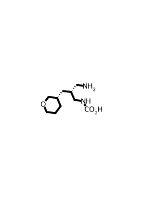 NC[C@H](CNC(=O)O)C[C@@H]1CCCOC1